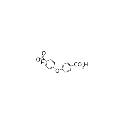 O=C(O)c1ccc(Oc2ccc([SH](=O)=O)cc2)cc1